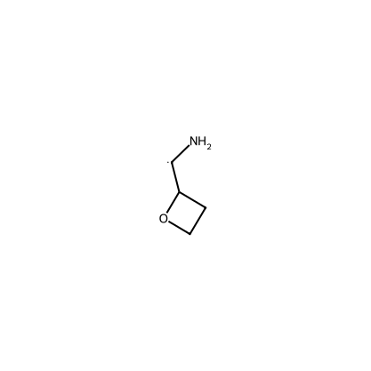 N[CH]C1CCO1